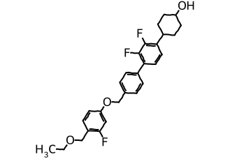 CCOCc1ccc(OCc2ccc(-c3ccc(C4CCC(O)CC4)c(F)c3F)cc2)cc1F